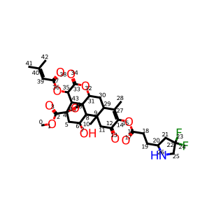 COC(=O)C12CC(O)C3C4(C)CC(=O)C(OC(=O)CCC5CC(F)(F)CN5)=C(C)C4CC4OC(=O)C(OC(=O)C=C(C)C)C1C43CO2